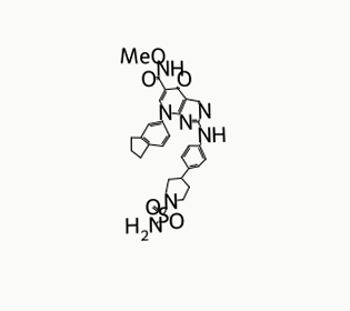 CONC(=O)c1cn(-c2ccc3c(c2)CCC3)c2nc(Nc3ccc(C4CCN(S(N)(=O)=O)CC4)cc3)ncc2c1=O